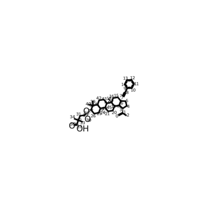 C=C(C)[C@@H]1CC[C@]2(C#Cc3ccccc3)CC[C@]3(C)C(CCC4[C@@]5(C)CC[C@H](OC(=O)CC(C)(C)C(=O)O)C(C)(C)C5CC[C@]43C)C12